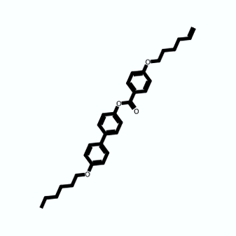 C=CCCCCOc1ccc(C(=O)Oc2ccc(-c3ccc(OCCCCCC)cc3)cc2)cc1